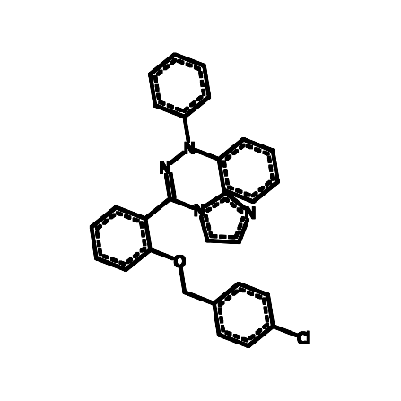 Clc1ccc(COc2ccccc2C(=NN(c2ccccc2)c2ccccc2)n2ccnc2)cc1